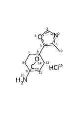 Cc1ncoc1C12CCC(N)(CC1)CO2.Cl